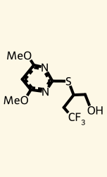 COc1cc(OC)nc(SC(CO)CC(F)(F)F)n1